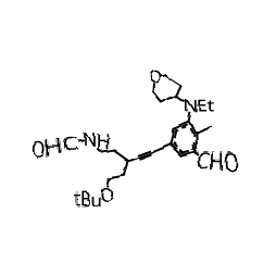 CCN(c1cc(C#CC(CCNC=O)CCOC(C)(C)C)cc(C=O)c1C)C1CCOCC1